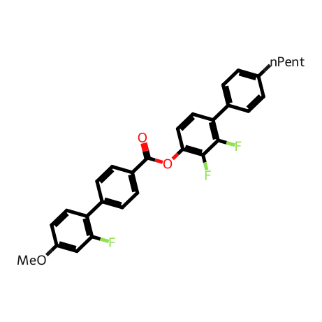 CCCCCc1ccc(-c2ccc(OC(=O)c3ccc(-c4ccc(OC)cc4F)cc3)c(F)c2F)cc1